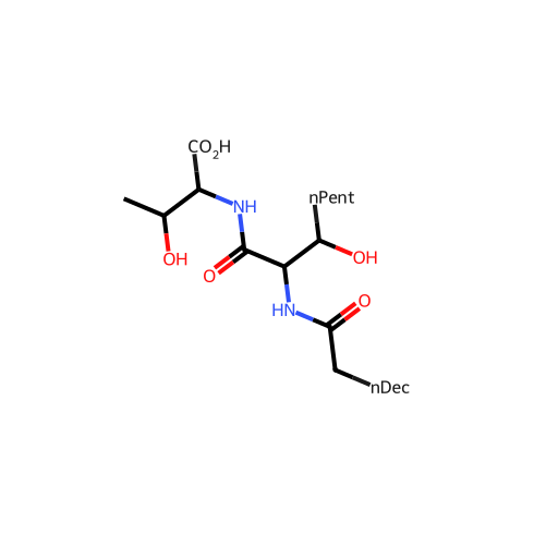 CCCCCCCCCCCC(=O)NC(C(=O)NC(C(=O)O)C(C)O)C(O)CCCCC